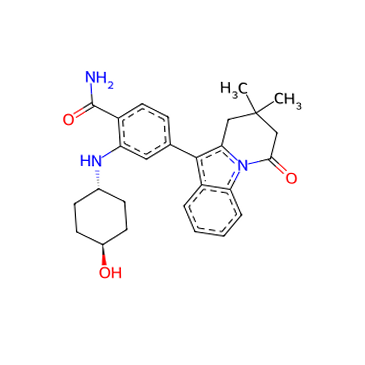 CC1(C)CC(=O)n2c(c(-c3ccc(C(N)=O)c(N[C@H]4CC[C@H](O)CC4)c3)c3ccccc32)C1